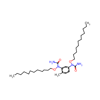 CCCCCCCCCCCCON(C(N)=O)c1ccc(C)c(N(OCCCCCCCCCCCC)C(N)=O)c1